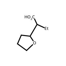 CCC(C(=O)O)C1CCCO1